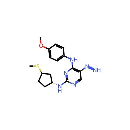 COc1ccc(Nc2nc(N[C@@H]3CC[C@@H](SC)C3)ncc2N=N)cc1